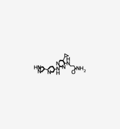 NC(=O)CCNc1nc(Nc2ccc(-c3cn[nH]c3)nc2)ncc1C1CC1